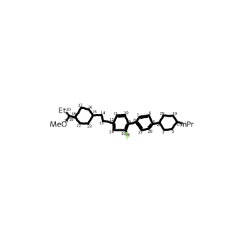 CCCC1CCC(c2ccc(-c3ccc(CCC4CCC(C(CC)OC)CC4)cc3F)cc2)CC1